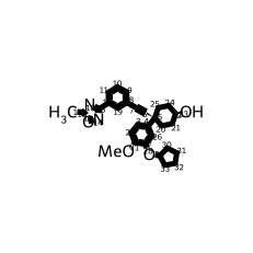 COc1ccc([C@]2(C#Cc3cccc(-c4noc(C)n4)c3)CC[C@@H](O)CC2)cc1OC1CCCC1